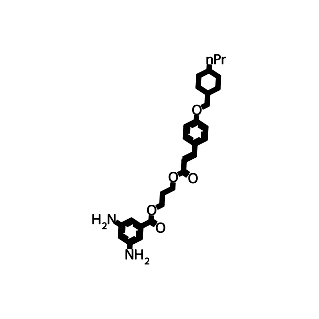 CCCC1CCC(COc2ccc(/C=C/C(=O)OCCCOC(=O)c3cc(N)cc(N)c3)cc2)CC1